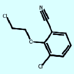 N#Cc1cccc(Cl)c1OCCCl